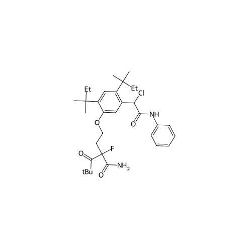 CCC(C)(C)c1cc(C(C)(C)CC)c(C(Cl)C(=O)Nc2ccccc2)cc1OCCC(F)(C(N)=O)C(=O)C(C)(C)C